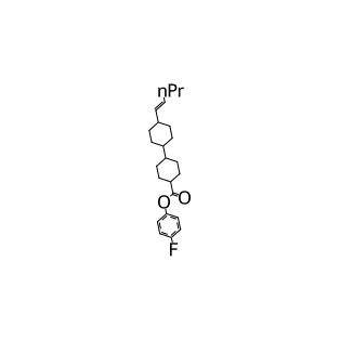 CCC/C=C/C1CCC(C2CCC(C(=O)Oc3ccc(F)cc3)CC2)CC1